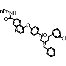 CCCNC(=O)c1ccc2c(Oc3ccc(CCN(Cc4ccccc4)C[C@H](O)c4cccc(Cl)c4)cc3)ccnc2c1